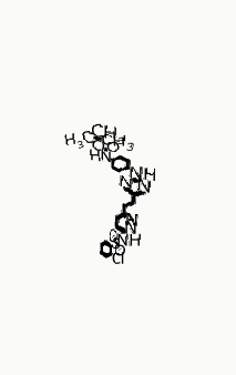 CC(C)(C)OC(=O)N[C@H]1CC[C@H](Nc2ncc(CCc3ccc(NS(=O)(=O)c4ccccc4Cl)nn3)cn2)CC1